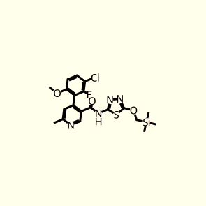 COc1ccc(Cl)c(F)c1-c1cc(C)ncc1C(=O)Nc1nnc(OC[Si](C)(C)C)s1